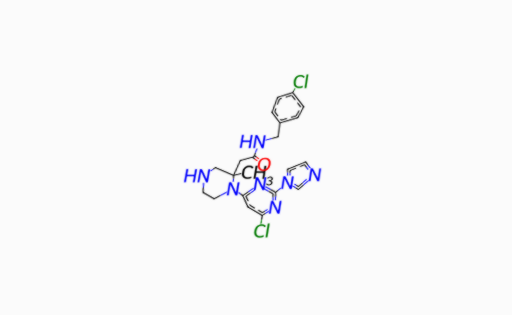 CC1(CC(=O)NCc2ccc(Cl)cc2)CNCCN1c1cc(Cl)nc(-n2ccnc2)n1